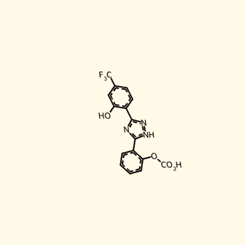 O=C(O)Oc1ccccc1-c1nc(-c2ccc(C(F)(F)F)cc2O)n[nH]1